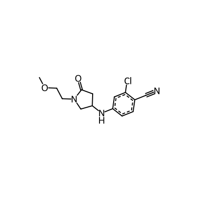 COCCN1CC(Nc2ccc(C#N)c(Cl)c2)CC1=O